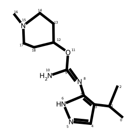 CC(C)c1cn[nH]c1/N=C(\N)OC1CCN(C)CC1